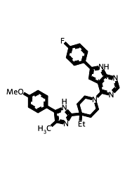 CCC1(c2nc(C)c(-c3ccc(OC)cc3)[nH]2)CCN(c2ncnc3[nH]c(-c4ccc(F)cc4)cc23)CC1